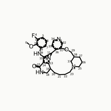 COc1c(F)cccc1Nc1c2[nH]c3c1C(=O)NCC3CCCCN1CCCC(COc3cnccc3-2)C1